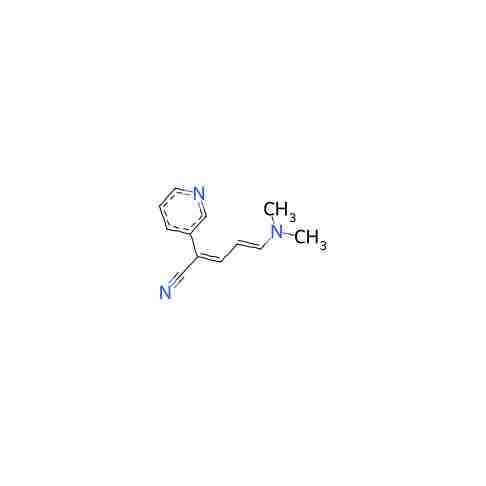 CN(C)/C=C/C=C(/C#N)c1cccnc1